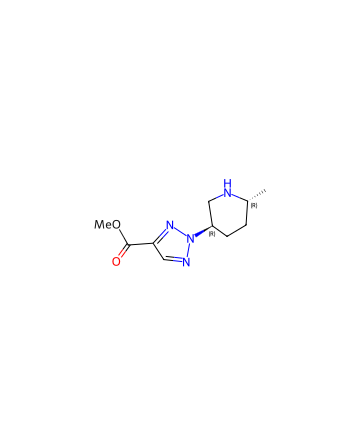 COC(=O)c1cnn([C@@H]2CC[C@@H](C)NC2)n1